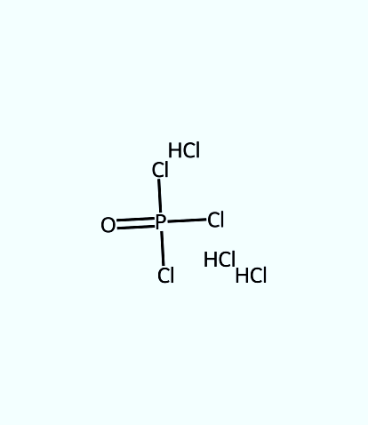 Cl.Cl.Cl.O=P(Cl)(Cl)Cl